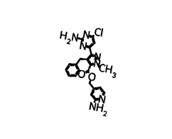 Cn1nc(-c2cc(Cl)nc(N)n2)c(Cc2ccccc2)c1C(=O)OCc1ccnc(N)c1